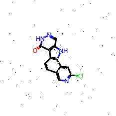 O=c1[nH]ncc2[nH]c3c4cc(Cl)ncc4ccc3c12